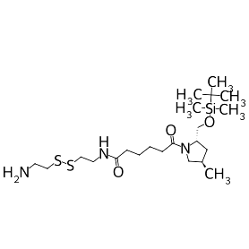 C[C@@H]1C[C@@H](CO[Si](C)(C)C(C)(C)C)N(C(=O)CCCCC(=O)NCCSSCCN)C1